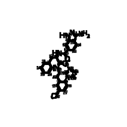 Nc1n[nH]c2cc(C(=O)NC(Cc3ccccc3)C(=O)NCCc3cc(Cl)ccc3-n3cnnn3)ccc12